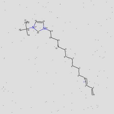 C=C/C=C/CCCCCCCCCCN1C=CN(C(C)(C)CCC)C1